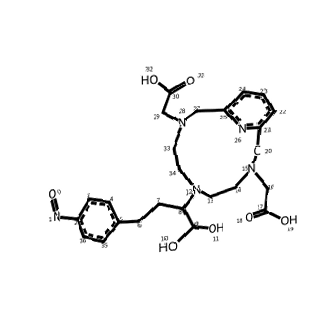 O=Nc1ccc(CCC(C(O)O)N2CCN(CC(=O)O)Cc3cccc(n3)CN(CC(=O)O)CC2)cc1